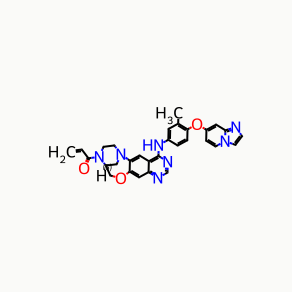 C=CC(=O)N1CCN2C[C@H]1COc1cc3ncnc(Nc4ccc(Oc5ccn6ccnc6c5)c(C)c4)c3cc12